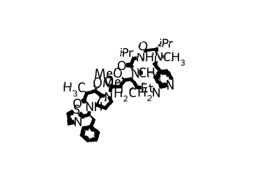 C=C(CC)[C@@H]([C@@H](CC(=O)N1CCC[C@H]1[C@H](OC)[C@@H](C)C(=O)N[C@@H](Cc1ccccc1)c1nccs1)OC)N(C)C(=O)[C@@H](NC(=O)[C@H](C(C)C)N(C)Cc1ccnc(N)c1)C(C)C